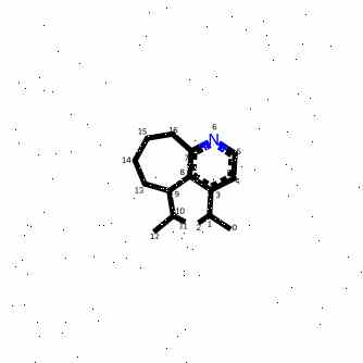 CC(C)c1ccnc2c1C(C(C)C)CCCC2